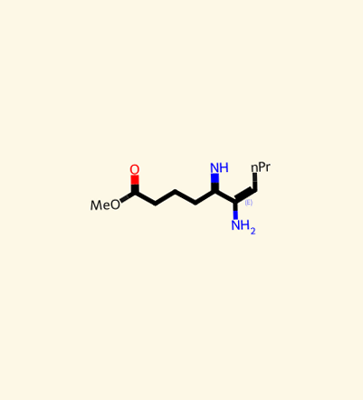 CCC/C=C(/N)C(=N)CCCC(=O)OC